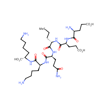 CSCC[C@H](NC(=O)[C@H](CCC(=O)O)NC(=O)[C@@H](N)CCC(=O)O)C(=O)N[C@@H](CCC(N)=O)C(=O)N[C@@H](CCCCN)C(=O)N[C@@H](CCCCN)C(=O)O